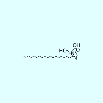 CCCCCCCCCCCCCCCCCCC1=NCC[N+]1(CCO)CC(=O)O